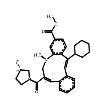 COC(=O)c1ccc2c(c1)N(C)C/C(C(=O)N1CC[C@H](F)C1)=C\c1ccccc1/C=C/2C1CCCCC1